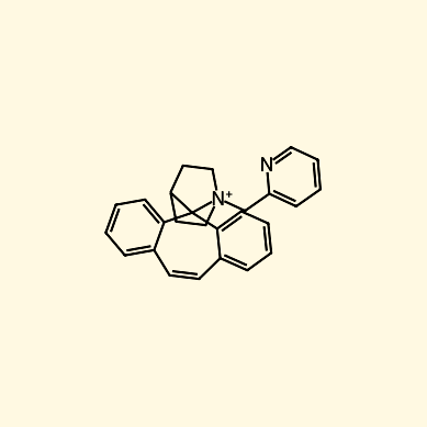 C1=Cc2ccccc2C2(c3ccccc31)C1CC[N+]2(Cc2ccccn2)CC1